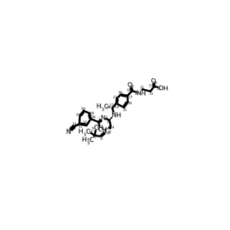 C/C(=N\[C@H](C=C=CC(C)(C)C)N[C@H](C)c1ccc(C(=O)NCCC(=O)O)cc1)c1cccc(C#N)c1